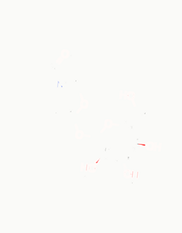 C=CC(=O)NC(C)OC(C)OC1O[C@H](CO)[C@@H](O)[C@H](O)[C@H]1O